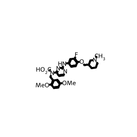 COc1ccc(OC)c(CN(C(=O)O)c2ccnc(Nc3ccc(OCC4CCCN(C)C4)c(F)c3)n2)c1